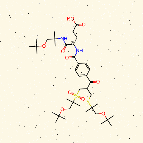 CC(C)(COC(C)(C)C)NC(=O)[C@H](CCC(=O)O)NC(=O)c1ccc(C(=O)C(CSC(C)(C)COC(C)(C)C)CS(=O)(=O)C(C)(C)COC(C)(C)C)cc1